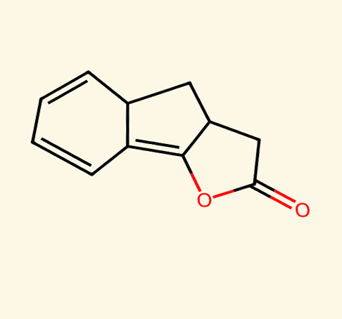 O=C1CC2CC3C=CC=CC3=C2O1